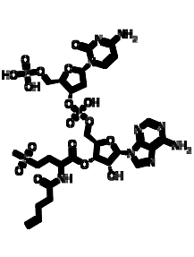 C=CCCC(=O)NC(CCS(C)(=O)=O)C(=O)O[C@H]1[C@@H](O)[C@H](n2cnc3c(N)ncnc32)O[C@@H]1COP(=O)(O)O[C@H]1C[C@H](n2ccc(N)nc2=O)O[C@@H]1COP(=O)(O)O